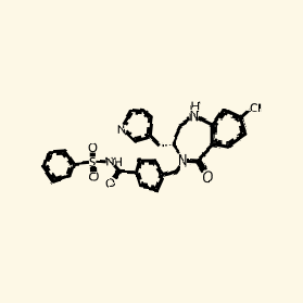 O=C(NS(=O)(=O)c1ccccc1)c1ccc(CN2C(=O)c3ccc(Cl)cc3NC[C@H]2Cc2cccnc2)cc1